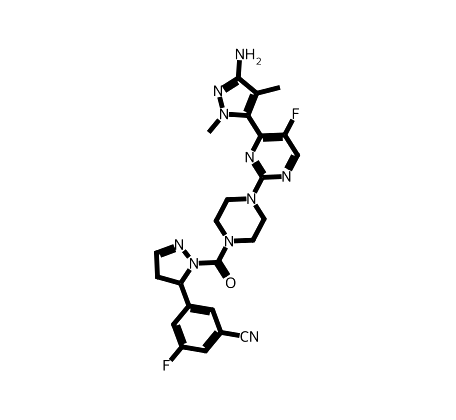 Cc1c(N)nn(C)c1-c1nc(N2CCN(C(=O)N3N=CCC3c3cc(F)cc(C#N)c3)CC2)ncc1F